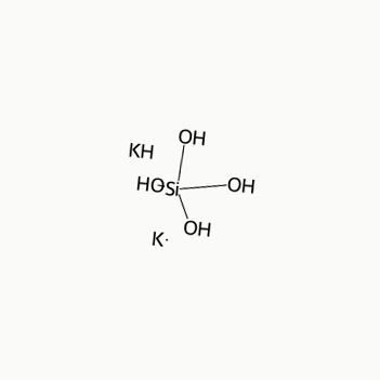 O[Si](O)(O)O.[KH].[K]